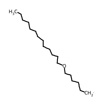 [CH2]CCCCCOCCCCCCCCCCCCC